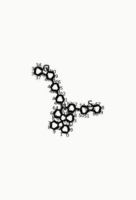 c1ccc(C2(c3ccccc3)c3ccccc3-c3c(N(c4ccc(-c5ccc(-c6ccc7oc8ccccc8c7c6)cc5)cc4)c4ccc(-c5ccc6c(c5)sc5ccccc56)cc4)cccc32)cc1